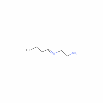 [CH2]CCC=NCCN